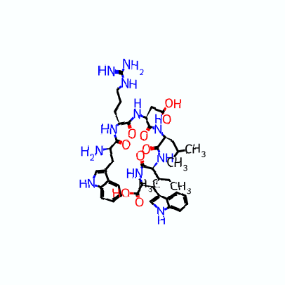 CC[C@H](C)[C@H](NC(=O)[C@H](CC(C)C)NC(=O)[C@H](CC(=O)O)NC(=O)[C@H](CCCNC(=N)N)NC(=O)[C@H](N)Cc1c[nH]c2ccccc12)C(=O)N[C@@H](Cc1c[nH]c2ccccc12)C(=O)O